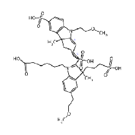 COCCc1ccc2c(c1)C(C)(CCCS(=O)(=O)O)C(/C=C/C=C1/N(CCOC)c3ccc(S(=O)(=O)O)cc3C1(C)CCCS(=O)(=O)O)=[N+]2CCCCCC(=O)O